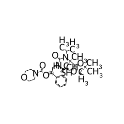 C=C(S)N(C[C@H](OC(=O)N1CCOCC1)c1ccccc1)C(=O)N(C(C)C)C(C)(C)C(=O)OC(C)(C)C